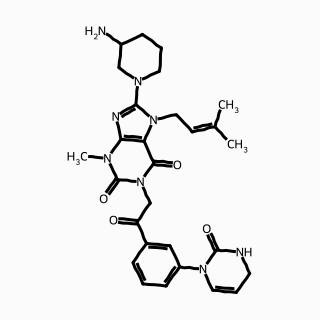 CC(C)=CCn1c(N2CCCC(N)C2)nc2c1c(=O)n(CC(=O)c1cccc(N3C=CCNC3=O)c1)c(=O)n2C